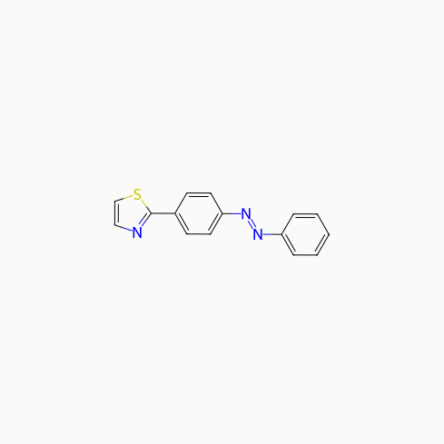 c1ccc(/N=N/c2ccc(-c3nccs3)cc2)cc1